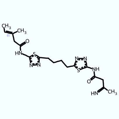 C/C=C(\C)CC(=O)Nc1nnc(CCCCc2nnc(NC(=O)CC(C)=N)s2)s1